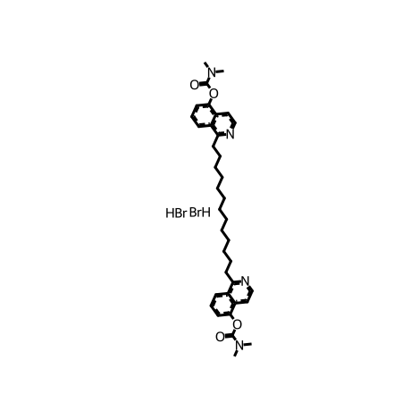 Br.Br.CN(C)C(=O)Oc1cccc2c(CCCCCCCCCCCCCc3nccc4c(OC(=O)N(C)C)cccc34)nccc12